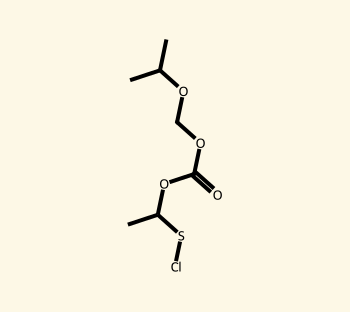 CC(C)OCOC(=O)OC(C)SCl